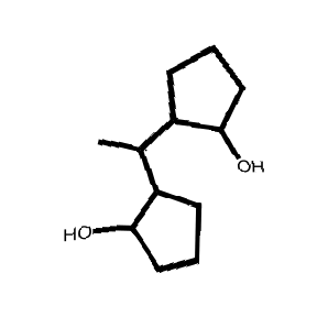 C[C](C1CCCC1O)C1CCCC1O